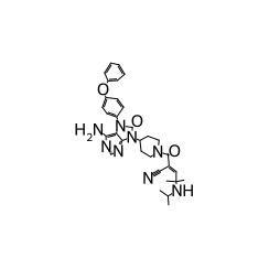 CC(C)NC(C)(C)C=C(C#N)C(=O)N1CCC(n2c(=O)n(-c3ccc(Oc4ccccc4)cc3)c3c(N)ncnc32)CC1